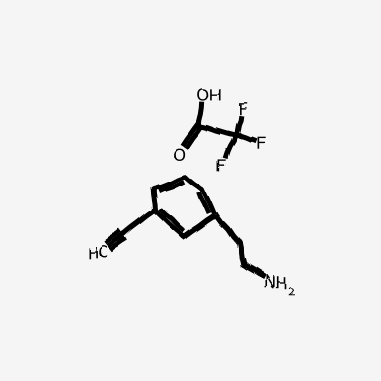 C#Cc1cccc(CCN)c1.O=C(O)C(F)(F)F